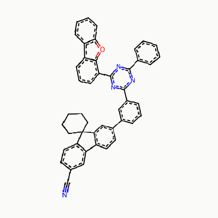 N#Cc1ccc2c(c1)-c1ccc(-c3cccc(-c4nc(-c5ccccc5)nc(-c5cccc6c5oc5ccccc56)n4)c3)cc1C21CCCCC1